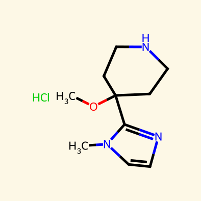 COC1(c2nccn2C)CCNCC1.Cl